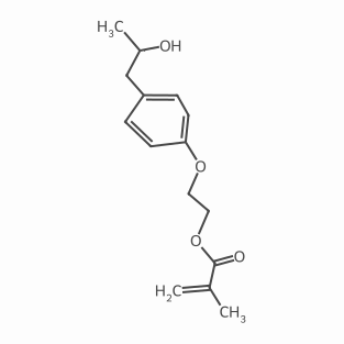 C=C(C)C(=O)OCCOc1ccc(C[C](C)O)cc1